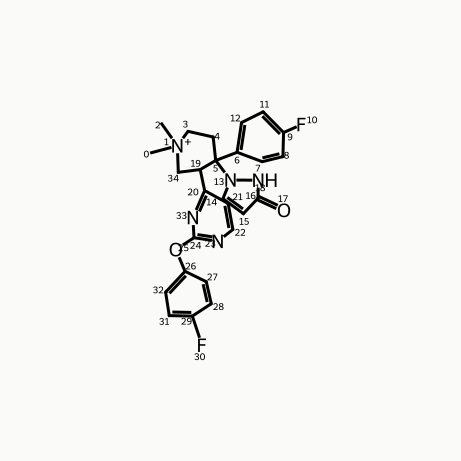 C[N+]1(C)CCC(c2ccc(F)cc2)(n2ccc(=O)[nH]2)C(c2ccnc(Oc3ccc(F)cc3)n2)C1